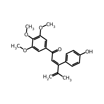 C=C(C)C(=CC(=O)c1cc(OC)c(OC)c(OC)c1)c1ccc(O)cc1